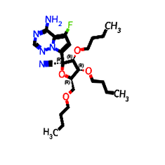 CCCCOC[C@H]1O[C@@](C#N)(c2cc(F)c3c(N)ncnn23)[C@H](OCCCC)[C@@H]1OCCCC